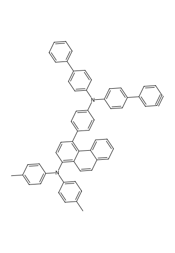 Cc1ccc(N(c2ccc(C)cc2)c2ccc(-c3ccc(N(c4ccc(-c5cc#ccc5)cc4)c4ccc(-c5ccccc5)cc4)cc3)c3c2ccc2ccccc23)cc1